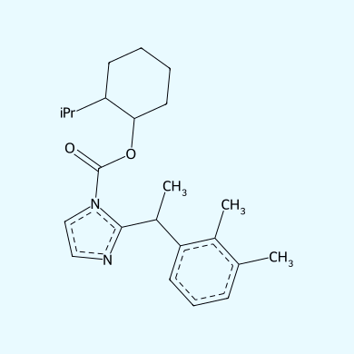 Cc1cccc(C(C)c2nccn2C(=O)OC2CCCCC2C(C)C)c1C